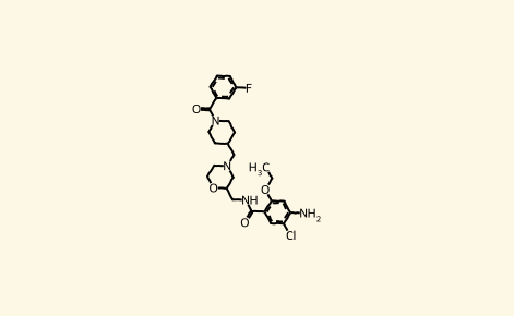 CCOc1cc(N)c(Cl)cc1C(=O)NCC1CN(CC2CCN(C(=O)c3cccc(F)c3)CC2)CCO1